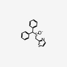 [O-][S+](Cc1nccs1)C(c1ccccc1)c1ccccc1